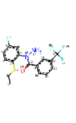 CCSc1ccc(F)cc1N(N)C(=O)c1cccc(C(F)(F)F)c1